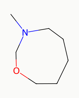 CN1CCCCCOC1